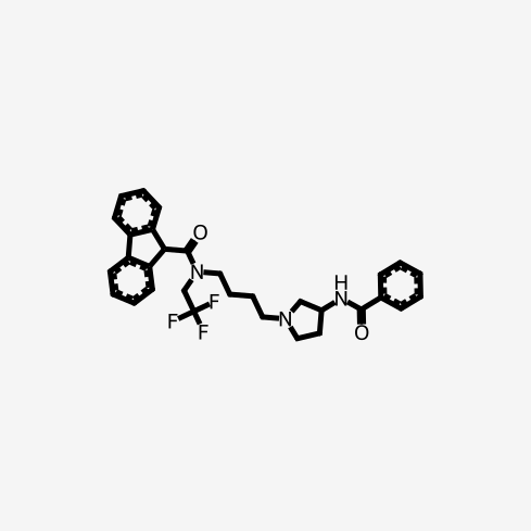 O=C(NC1CCN(CCCCN(CC(F)(F)F)C(=O)C2c3ccccc3-c3ccccc32)C1)c1ccccc1